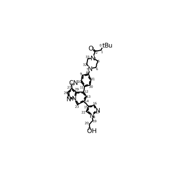 CC(C)(C)CC(=O)N1CCN(c2ccc(-c3cc(-c4cnn(CCO)c4)cn4ncc(C#N)c34)cc2)CC1